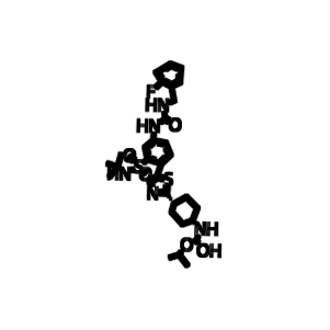 CC(C)OC(O)N[C@H]1CC[C@H](c2ncc(-c3ccc(NC(=O)NCc4ccccc4F)cc3S(=O)(=O)NC(C)(C)C)s2)CC1